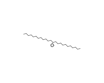 CCCCCCCCCCCCC([O])CCCCCCCCCCC